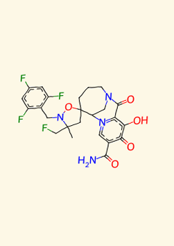 CC1(CF)CC2(CCCN3CC2n2cc(C(N)=O)c(=O)c(O)c2C3=O)ON1Cc1c(F)cc(F)cc1F